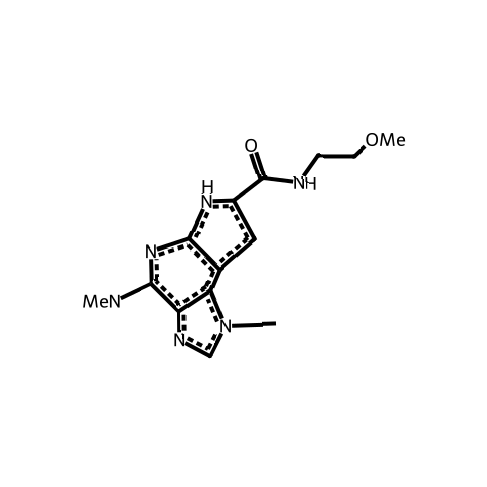 CNc1nc2[nH]c(C(=O)NCCOC)cc2c2c1ncn2C